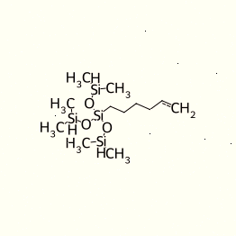 C=CCCCC[Si](O[SiH](C)C)(O[SiH](C)C)O[SiH](C)C